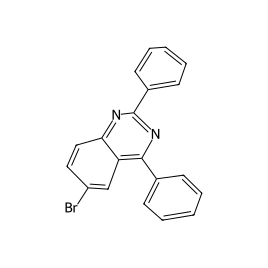 Brc1ccc2nc(-c3ccccc3)nc(-c3ccccc3)c2c1